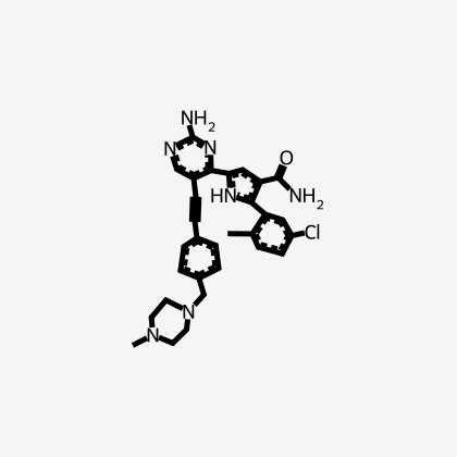 Cc1ccc(Cl)cc1-c1[nH]c(-c2nc(N)ncc2C#Cc2ccc(CN3CCN(C)CC3)cc2)cc1C(N)=O